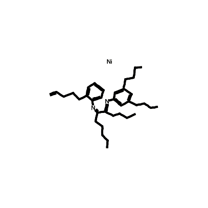 C=CCCCc1ccccc1N=C(CCCCC)C(CCCC)=Nc1cc(CCCC)cc(CCCC)c1.[Ni]